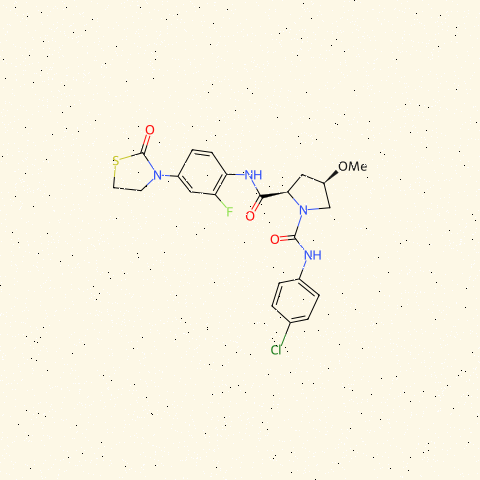 CO[C@@H]1C[C@H](C(=O)Nc2ccc(N3CCSC3=O)cc2F)N(C(=O)Nc2ccc(Cl)cc2)C1